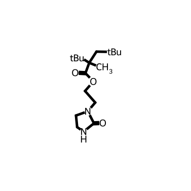 CC(C)(C)CC(C)(C(=O)OCCN1CCNC1=O)C(C)(C)C